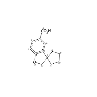 O=C(O)c1ccc2c(c1)C1(CCCC1)CO2